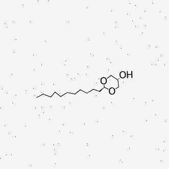 CCCCCCCCCCC[C@H]1OC[C@H](O)CO1